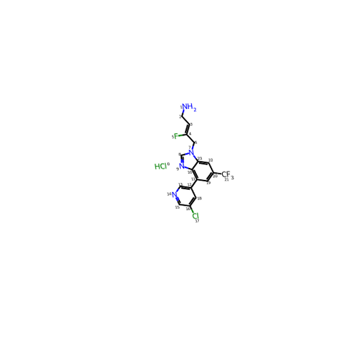 Cl.NC/C=C(\F)Cn1cnc2c(-c3cncc(Cl)c3)cc(C(F)(F)F)cc21